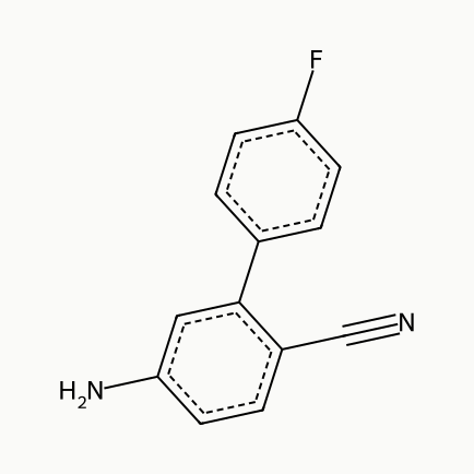 N#Cc1ccc(N)cc1-c1ccc(F)cc1